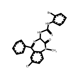 CN1C(=O)C(NC(=S)Nc2ccccc2Br)N=C(c2ccccc2)c2cc(Cl)ccc21